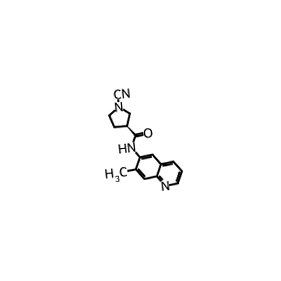 Cc1cc2ncccc2cc1NC(=O)[C@H]1CCN(C#N)C1